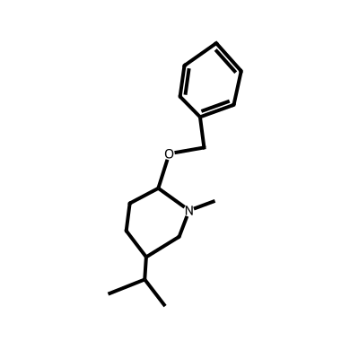 CC(C)C1CCC(OCc2ccccc2)N(C)C1